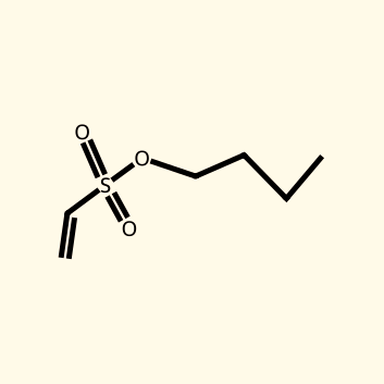 C=CS(=O)(=O)OCCCC